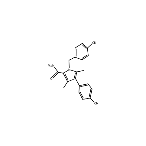 CNC(=O)c1c(C)c(-c2ccc(C#N)cc2)c(C)n1Cc1ccc(C#N)cc1